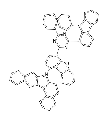 c1ccc(-c2nc(-c3ccc(-n4c5cc6ccccc6cc5c5c6ccccc6ccc54)c4c3oc3ccccc34)nc(-c3cccc4c5ccccc5n(-c5ccccc5)c34)n2)cc1